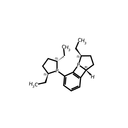 CC[C@H]1CC[C@H](CC)P1c1cccc2c1P1[C@@H](CC)CC[C@H]21